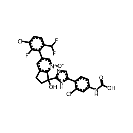 O=C(O)Nc1ccc(-c2cnc(C3(O)CCc4cc(-c5c(C(F)F)ccc(Cl)c5F)c[n+]([O-])c43)[nH]2)c(Cl)c1